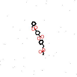 C=CC(=O)OCCc1ccc(OC(=O)C2CCC(C(=O)Oc3ccccc3C)CC2)cc1